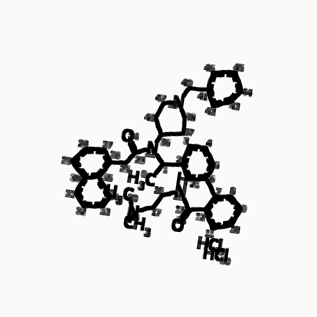 CC(c1cccc(-c2ccccc2C(=O)NCCN(C)C)c1)N(C(=O)Cc1cccc2ccccc12)C1CCN(Cc2ccccc2)CC1.Cl.Cl